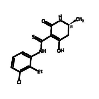 CCc1c(Cl)cccc1NC(=S)C1=C(O)C[C@@H](C)NC1=O